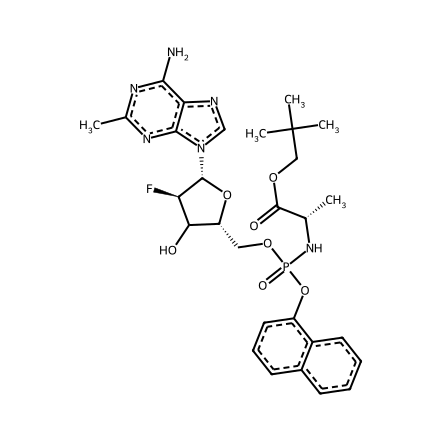 Cc1nc(N)c2ncn([C@@H]3O[C@H](COP(=O)(N[C@@H](C)C(=O)OCC(C)(C)C)Oc4cccc5ccccc45)C(O)[C@H]3F)c2n1